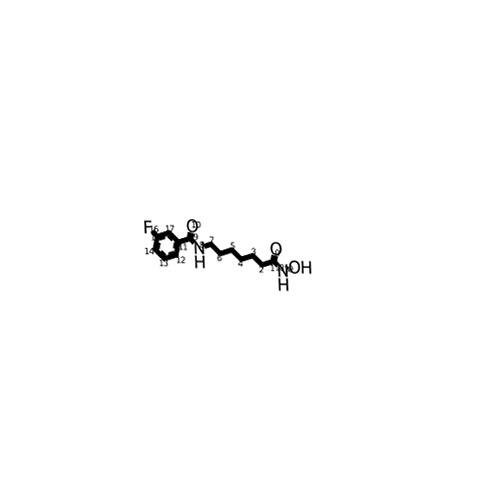 O=C(CCCCCCNC(=O)c1cccc(F)c1)NO